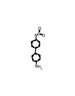 Nc1ccc(-c2ccc(N=S(=O)=O)cc2)cc1